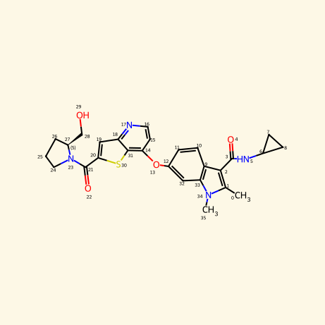 Cc1c(C(=O)NC2CC2)c2ccc(Oc3ccnc4cc(C(=O)N5CCC[C@H]5CO)sc34)cc2n1C